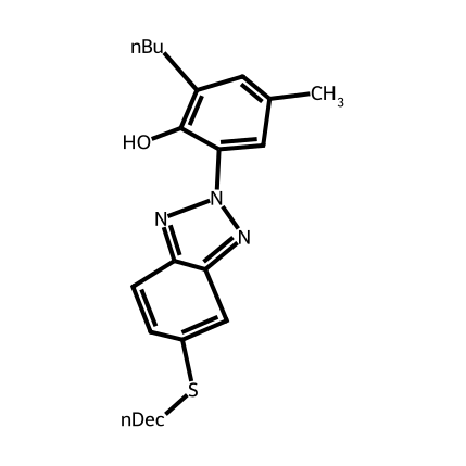 CCCCCCCCCCSc1ccc2nn(-c3cc(C)cc(CCCC)c3O)nc2c1